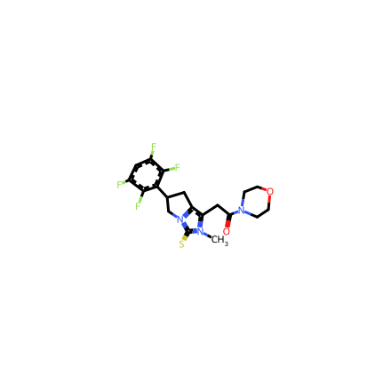 Cn1c(CC(=O)N2CCOCC2)c2n(c1=S)CC(c1c(F)c(F)cc(F)c1F)C2